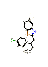 O=C(O)CC(Cc1nc2cc(C(F)(F)F)ccc2s1)c1ccc(Cl)cc1